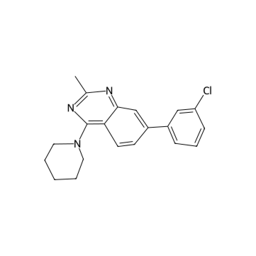 Cc1nc(N2CCCCC2)c2ccc(-c3cccc(Cl)c3)cc2n1